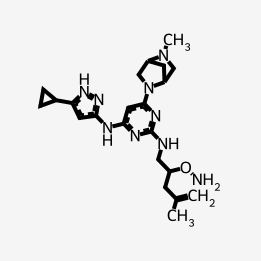 C=C(C)CC(CNc1nc(Nc2cc(C3CC3)[nH]n2)cc(N2CC3CC2CN3C)n1)ON